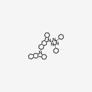 c1ccc(-c2nc(-c3ccccc3)nc(-n3c4ccccc4c4cc5ccc(-n6c7ccccc7c7cc8ccccc8cc76)cc5cc43)n2)cc1